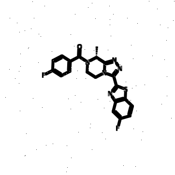 C[C@@H]1c2nnc(-c3nc4cc(F)ccc4s3)n2CCN1C(=O)c1ccc(F)cc1